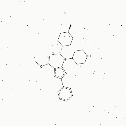 COC(=O)c1cc(-c2ccccc2)sc1N(C(=O)[C@H]1CC[C@H](C)CC1)C1CCNCC1